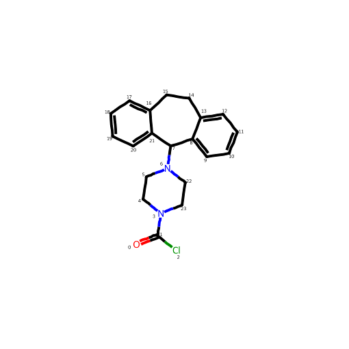 O=C(Cl)N1CCN(C2c3ccccc3CCc3ccccc32)CC1